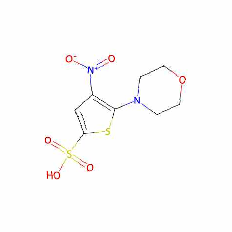 O=[N+]([O-])c1cc(S(=O)(=O)O)sc1N1CCOCC1